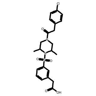 CC1CN(C(=O)Cc2ccc(Cl)cc2)CC(C)N1S(=O)(=O)c1cccc(CC(=O)O)c1